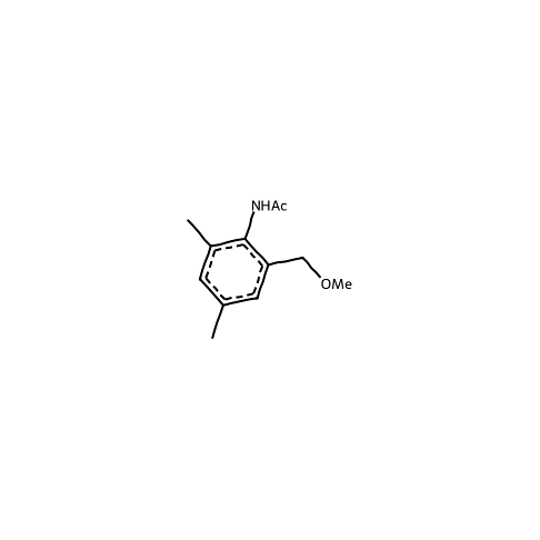 COCc1cc(C)cc(C)c1NC(C)=O